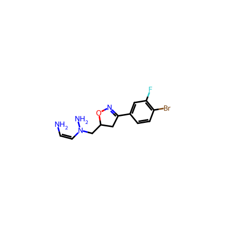 N/C=C\N(N)CC1CC(c2ccc(Br)c(F)c2)=NO1